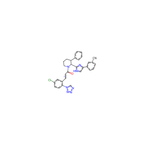 N#Cc1cccc(-c2c[nH]c(C3C(c4ccccc4)CCCN3C(=O)/C=C/c3cc(Cl)ccc3-n3cnnn3)n2)c1